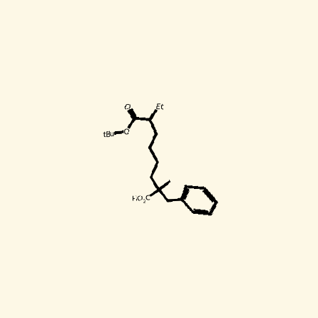 CCC(CCCCC(C)(Cc1ccccc1)C(=O)O)C(=O)OC(C)(C)C